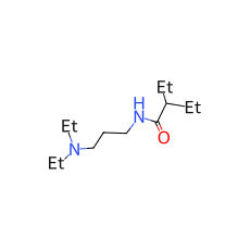 CCC(CC)C(=O)NCCCN(CC)CC